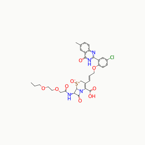 CCCOCCOCC(=O)N[C@@H]1C(=O)N2C(C(=O)O)=C(/C=C/COc3ccc(Cl)cc3-c3nc4ccc(C)cc4c(=O)[nH]3)C[S+]([O-])C12